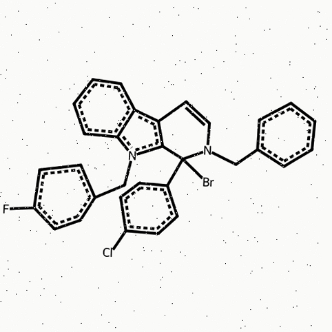 Fc1ccc(Cn2c3c(c4ccccc42)C=CN(Cc2ccccc2)C3(Br)c2ccc(Cl)cc2)cc1